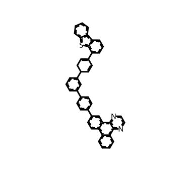 C1=CC(c2cccc(-c3ccc(-c4ccc5c6ccccc6c6nccnc6c5c4)cc3)c2)CC=C1c1cccc2c1sc1ccccc12